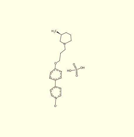 C[C@H]1CCCN(CCCOc2ccc(-c3cc[n+]([O-])cc3)cc2)C1.O=S(=O)(O)O